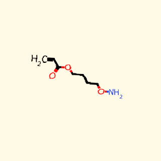 C=CC(=O)OCCCCON